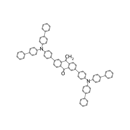 C=C1c2cc(-c3ccc(N(c4ccc(-c5ccccc5)cc4)c4ccc(-c5ccccc5)cc4)cc3)ccc2C(=O)c2cc(-c3ccc(N(c4ccc(-c5ccccc5)cc4)c4ccc(-c5ccccc5)cc4)cc3)ccc21